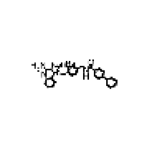 CCCCC1=NC2C(N)=Nc3ccccc3C2N1Cc1ccc(CNC(=O)c2ccc(-c3ccccc3)cc2)cc1